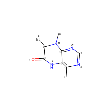 CCC1C(=O)Nc2c(C)ncnc2N1C